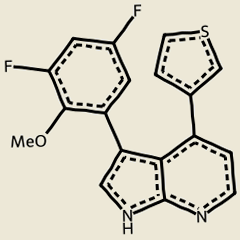 COc1c(F)cc(F)cc1-c1c[nH]c2nccc(-c3ccsc3)c12